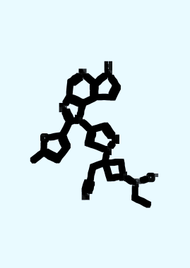 CC[S+]([O-])N1CC(CC#N)(n2cc(-n3c(-c4ccc(C)o4)nc4cnc5[nH]ccc5c43)cn2)C1